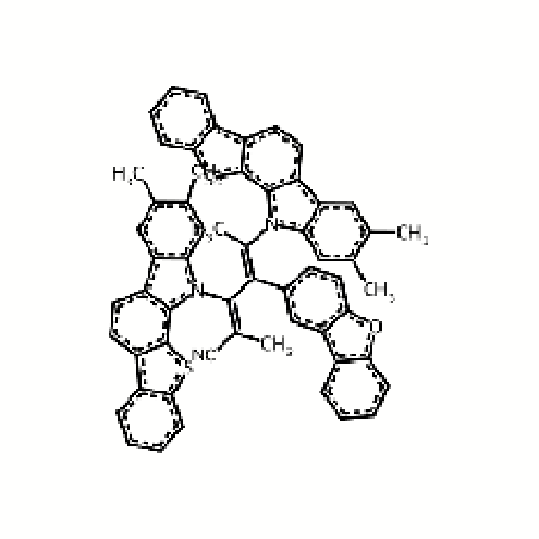 C/C(C#N)=C(\C(=C(/C)n1c2cc(C)c(C)cc2c2ccc3c4ccccc4sc3c21)c1ccc2oc3ccccc3c2c1)n1c2cc(C)c(C)cc2c2ccc3c4ccccc4sc3c21